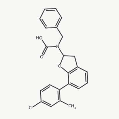 Cc1cc(Cl)ccc1-c1cccc2c1OC(N(Cc1ccccc1)C(=O)O)C2